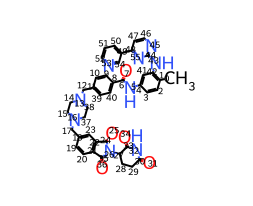 Cc1ccc(NC(=O)c2ccc(CN3CCN(Cc4ccc5c(c4)C(=O)N(C4CCC(=O)NC4=O)C5=O)CC3)cc2)cc1Nc1nccc(-c2cccnc2)n1